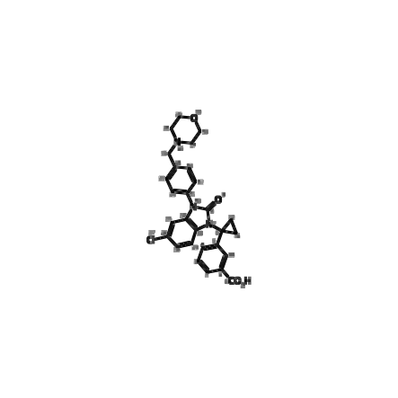 O=C(O)c1cccc(C2(n3c(=O)n(-c4ccc(CN5CCOCC5)cc4)c4cc(Cl)ccc43)CC2)c1